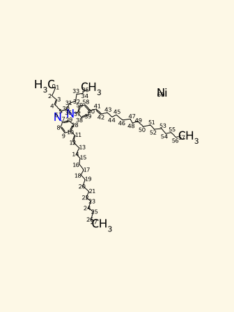 CCCC=CC(=Nc1ccc(C=CCCCCCCCCCCCCCCC)cc1)C(CCCCC)=Nc1ccc(C=CCCCCCCCCCCCCCCC)cc1.[Ni]